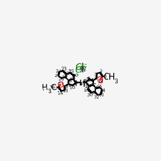 Cc1ccc(C2=C[CH]([Hf+2][CH]3C=C(c4ccc(C)o4)c4c3ccc3ccccc43)c3ccc4ccccc4c32)o1.[Cl-].[Cl-]